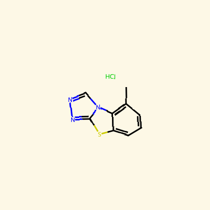 Cc1cccc2sc3nncn3c12.Cl